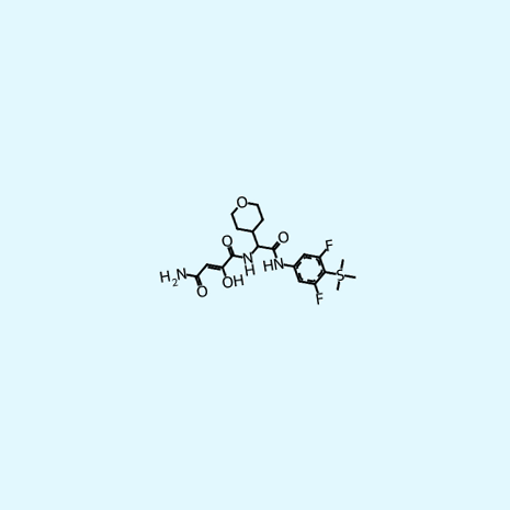 CS(C)(C)c1c(F)cc(NC(=O)C(NC(=O)/C(O)=C/C(N)=O)C2CCOCC2)cc1F